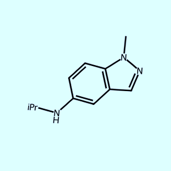 CC(C)Nc1ccc2c(cnn2C)c1